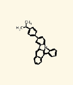 CC(C)c1ccc(-c2ccc3c(c2)c2cc4ccccc4c4c5ccccc5n3c24)cc1